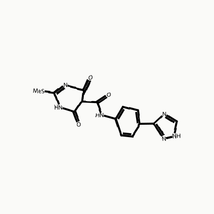 CSC1=NC(=O)C(C(=O)Nc2ccc(-c3nc[nH]n3)cc2)C(=O)N1